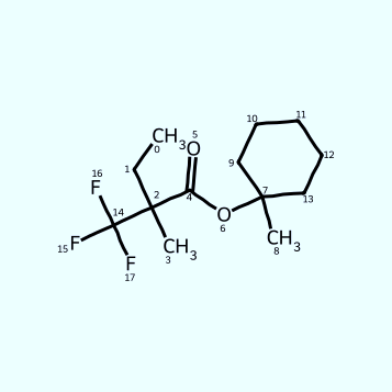 CCC(C)(C(=O)OC1(C)CCCCC1)C(F)(F)F